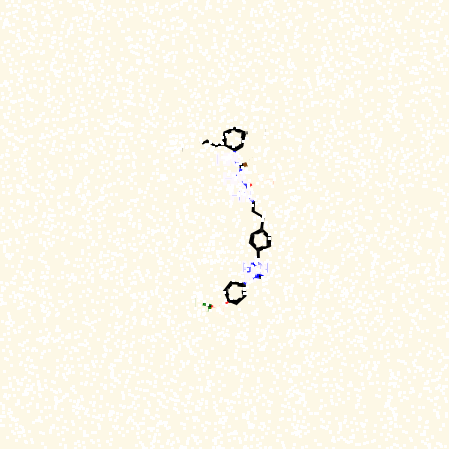 CCCc1ccc(C)cc1NC(=S)NC(O)NCCCc1ccc(-c2ncn(-c3ccc(OC(F)(F)F)cc3)n2)cc1